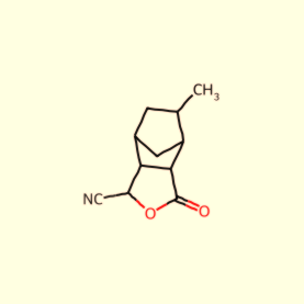 CC1CC2CC1C1C(=O)OC(C#N)C21